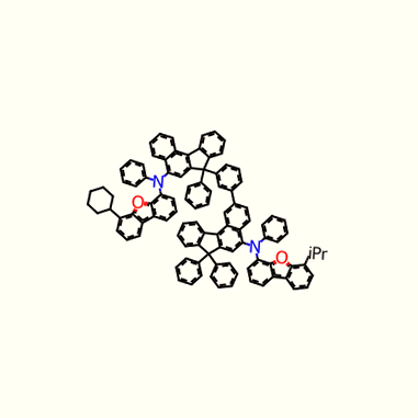 CC(C)c1cccc2c1oc1c(N(c3ccccc3)c3cc4c(c5cc(-c6cccc(C7(c8ccccc8)c8ccccc8-c8c7cc(N(c7ccccc7)c7cccc9c7oc7c(C%10CCCCC%10)cccc79)c7ccccc87)c6)ccc35)-c3ccccc3C4(c3ccccc3)c3ccccc3)cccc12